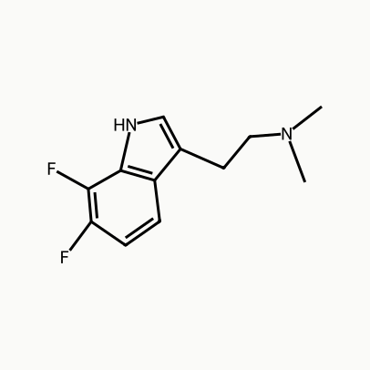 CN(C)CCc1c[nH]c2c(F)c(F)ccc12